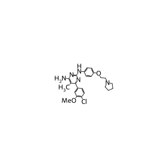 COc1cc(-c2nc(Nc3ccc(OCCN4CCCC4)cc3)nc(N)c2C)ccc1Cl